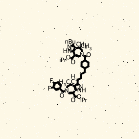 CCCCc1n[nH]c2c1C(C)(C)CN(C(=O)C1CCC(CCCCc3n[nH]c4c3C(C)(C)CN(C(=O)c3ccc(F)c(F)c3)C=C4C(=O)OC(C)C)CC1)C=C2C(=O)OC(C)C